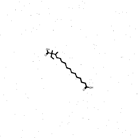 CCC(C)(C(=O)O)C(C)CCCCCCCCCCCCC(=O)O